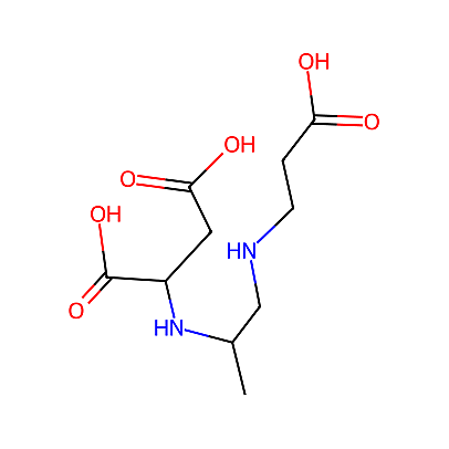 CC(CNCCC(=O)O)NC(CC(=O)O)C(=O)O